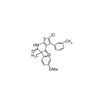 COc1ccc(C2(C)C(=O)Nc3sc(Cl)c(-c4cccc(C)c4)c3C2=O)cc1